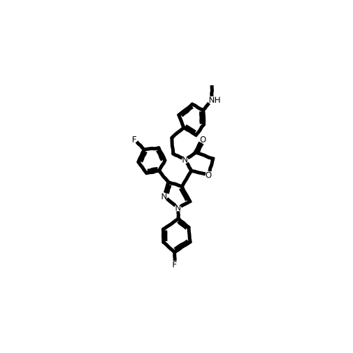 CNc1ccc(CCN2C(=O)COC2c2cn(-c3ccc(F)cc3)nc2-c2ccc(F)cc2)cc1